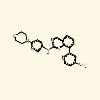 Nc1ccnc(-c2cccc3cnc(Nc4ccc(N5CCOCC5)nc4)nc23)c1